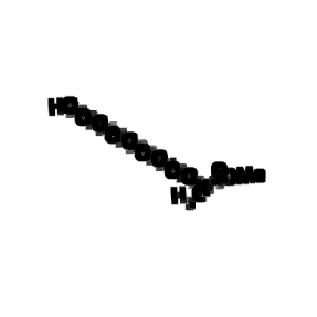 COC(=O)/C=C/CN(C)CCOCCOCCOCCOCCOCCOCCOCCOCCO